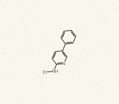 CCNc1ccc(-c2ccccc2)cn1